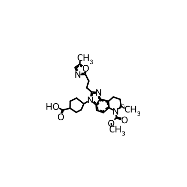 COC(=O)N1c2ccc3c(nc(CCc4ncc(C)o4)n3C3CCC(C(=O)O)CC3)c2CC[C@@H]1C